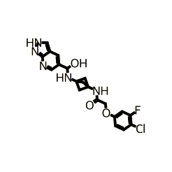 O=C(COc1ccc(Cl)c(F)c1)NC12CC(NC(O)c3cnc4n[nH]cc4c3)(C1)C2